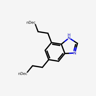 CCCCCCCCCCCCc1cc(CCCCCCCCCCCC)c2[nH]cnc2c1